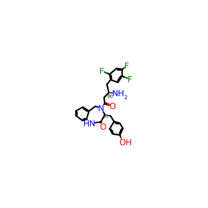 N[C@@H](CC(=O)N1Cc2ccccc2NC(=O)[C@@H]1Cc1ccc(O)cc1)Cc1cc(F)c(F)cc1F